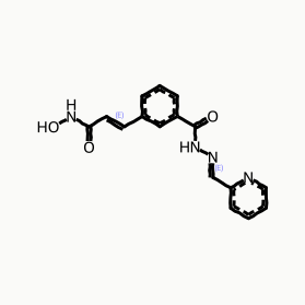 O=C(/C=C/c1cccc(C(=O)N/N=C/c2ccccn2)c1)NO